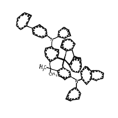 CC1(C)c2ccc(N(c3ccccc3)c3ccc(-c4ccccc4)cc3)cc2C2(c3ccccc3-c3ccccc32)c2cc(N(c3ccccc3)c3ccc4ccccc4c3)ccc21